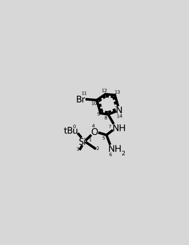 CC(C)(C)[Si](C)(C)OC(N)Nc1cc(Br)ccn1